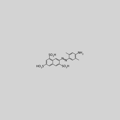 Cc1cc(N=Nc2cc3c(S(=O)(=O)O)cc(S(=O)(=O)O)cc3cc2S(=O)(=O)O)c(C)cc1N